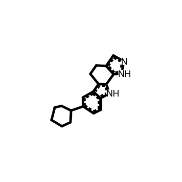 c1cc2[nH]c3c(c2cc1C1CCCCC1)CCc1cn[nH]c1-3